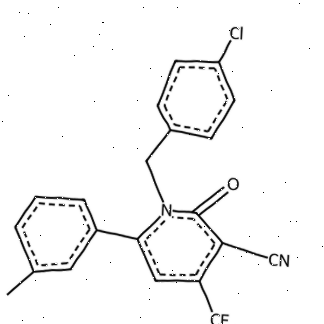 Cc1cccc(-c2cc(C(F)(F)F)c(C#N)c(=O)n2Cc2ccc(Cl)cc2)c1